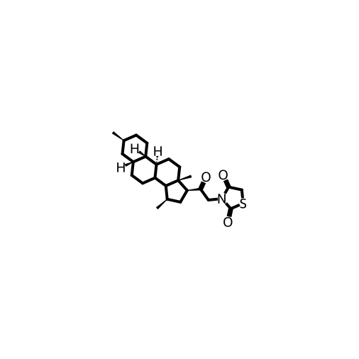 C[C@H]1CC[C@H]2[C@H](CCC3C4[C@H](C)C[C@H](C(=O)CN5C(=O)CSC5=O)[C@@]4(C)CC[C@@H]32)C1